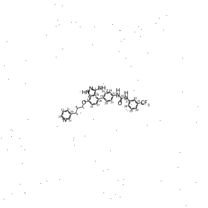 Nc1n[nH]c2c(OCCCc3cccnc3)ccc(-c3ccc(NC(=O)Nc4cccc(C(F)(F)F)c4)cc3)c12